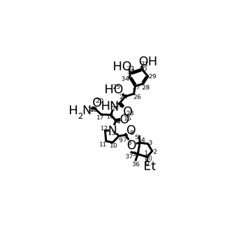 CC[C@@H]1CCC(C)(OC(=O)C2CCCN2C(=O)C(CC(N)=O)NC(=O)C(O)Cc2ccc(O)c(O)c2)C1(C)C